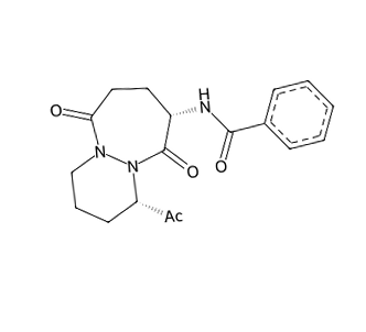 CC(=O)[C@@H]1CCCN2C(=O)CC[C@H](NC(=O)c3ccccc3)C(=O)N12